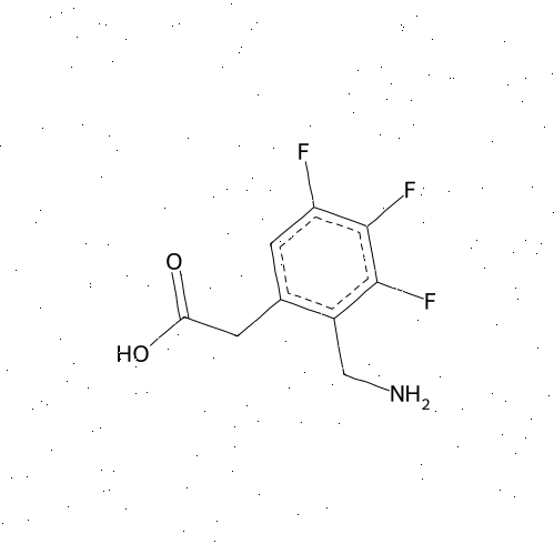 NCc1c(CC(=O)O)cc(F)c(F)c1F